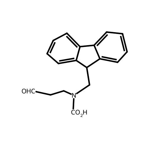 O=CCCN(CC1c2ccccc2-c2ccccc21)C(=O)O